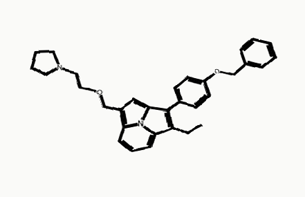 CCc1c(-c2ccc(OCc3ccccc3)cc2)c2cc(COCCN3CCCC3)c3cccc1n32